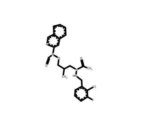 CC(=O)N(CC(C)CON(C=O)c1cc2ccccc2cn1)NCc1cccc(F)c1Cl